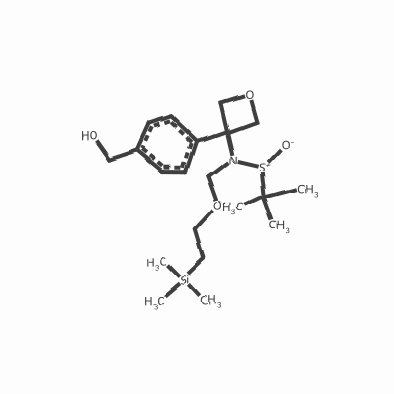 CC(C)(C)[S+]([O-])N(COCC[Si](C)(C)C)C1(c2ccc(CO)cc2)COC1